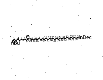 CCCC/C=C\CCCCCCCC(=O)OCCCCCCCCCCCCCCCCCCCCCCCCCCCCCCCCCCCCCC